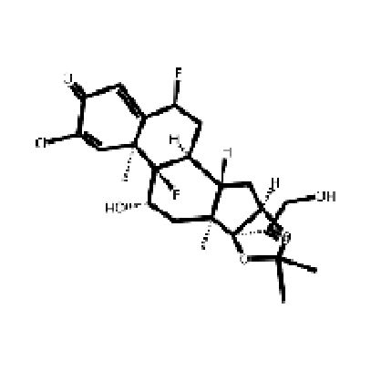 CC1(C)O[C@@H]2C[C@H]3[C@@H]4C[C@H](F)C5=CC(=O)C(Cl)=C[C@]5(C)[C@@]4(F)[C@@H](O)C[C@]3(C)[C@]2(C(=O)CO)O1